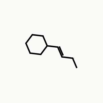 C[CH]C=CC1CCCCC1